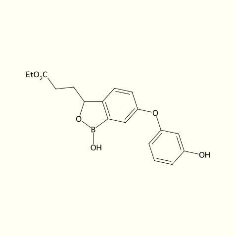 CCOC(=O)CCC1OB(O)c2cc(Oc3cccc(O)c3)ccc21